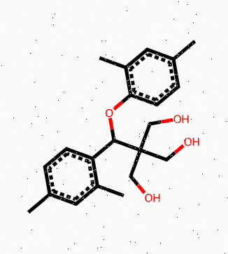 Cc1ccc(OC(c2ccc(C)cc2C)C(CO)(CO)CO)c(C)c1